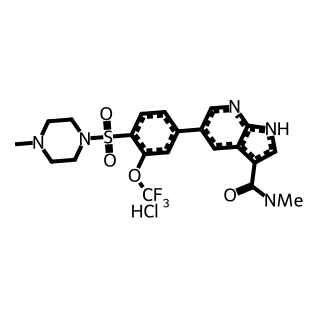 CNC(=O)c1c[nH]c2ncc(-c3ccc(S(=O)(=O)N4CCN(C)CC4)c(OC(F)(F)F)c3)cc12.Cl